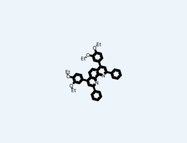 CCOc1ccc(-c2cc(-c3ccccc3)nc3c2ccc2c(-c4ccc(OCC)c(OCC)c4)cc(-c4ccccc4)nc23)cc1OCC